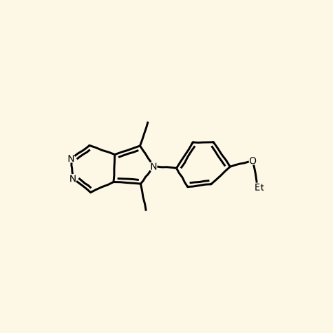 CCOc1ccc(-n2c(C)c3cnncc3c2C)cc1